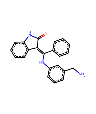 NCc1cccc(NC(=C2C(=O)Nc3ccccc32)c2ccccc2)c1